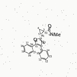 CNC(=O)[C@H]1C[C@H]1c1nc(-c2ccccc2)c(-c2ccccc2)o1